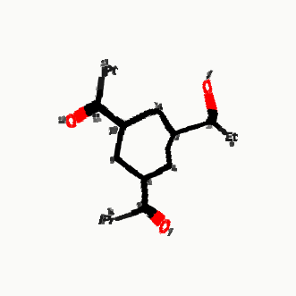 CCC(=O)C1CC(C(=O)C(C)C)CC(C(=O)C(C)C)C1